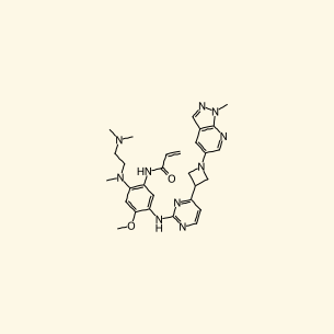 C=CC(=O)Nc1cc(Nc2nccc(C3CN(c4cnc5c(cnn5C)c4)C3)n2)c(OC)cc1N(C)CCN(C)C